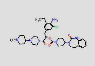 CCc1cc(C[C@@H](OC(=O)N2CCC(N3CCc4ccccc4NC3=O)CC2)C(=O)N2CCN(C3CCN(C)CC3)CC2)cc(Cl)c1N